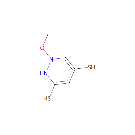 CON1C=C(S)C=C(S)N1